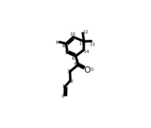 C=CCCC(=O)C1=CC(C)=CC(C)(C)C1